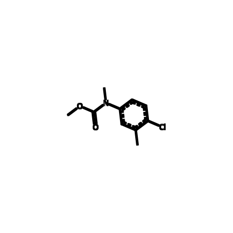 COC(=O)N(C)c1ccc(Cl)c(C)c1